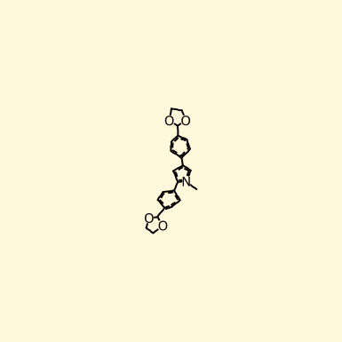 Cn1cc(-c2ccc(C3OCCO3)cc2)cc1-c1ccc(C2OCCO2)cc1